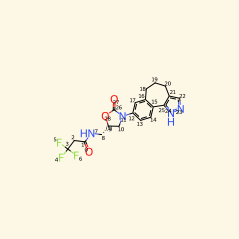 O=C(CC(F)(F)F)NC[C@H]1CN(c2ccc3c(c2)CCCc2cn[nH]c2-3)C(=O)O1